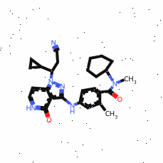 Cc1cc(Nc2nn(C(CC#N)C3CC3)c3cc[nH]c(=O)c23)ccc1C(=O)N(C)C1CCCCC1